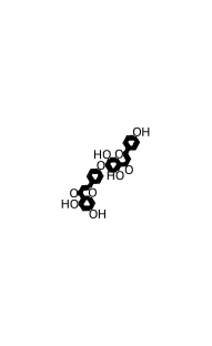 O=c1cc(-c2ccc(Oc3cc(O)c4c(=O)cc(-c5ccc(O)cc5)oc4c3O)cc2)oc2cc(O)cc(O)c12